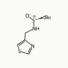 CC(C)(C)[S@+]([O-])NCc1cscn1